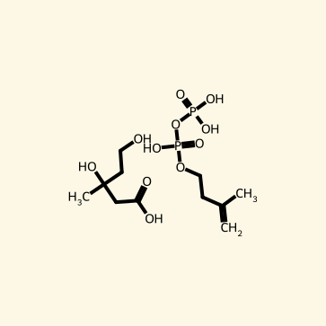 C=C(C)CCOP(=O)(O)OP(=O)(O)O.CC(O)(CCO)CC(=O)O